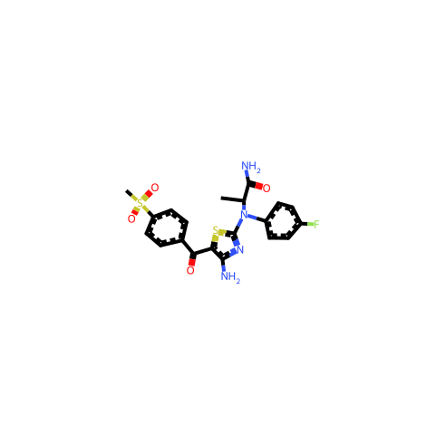 CC(C(N)=O)N(c1ccc(F)cc1)c1nc(N)c(C(=O)c2ccc(S(C)(=O)=O)cc2)s1